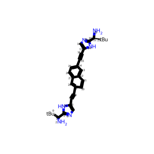 CC(C)(C)C(N)c1ncc(C#Cc2ccc3cc(C#Cc4cnc([C@@H](N)C(C)(C)C)[nH]4)ccc3c2)[nH]1